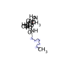 CC/C=C\C/C=C\C/C=C\C/C=C\C/C=C\CCCC(=O)NCCSSC(C)(C)[C@H](NC(=O)c1cccnc1)C(=O)NC[C@@H](O)CO